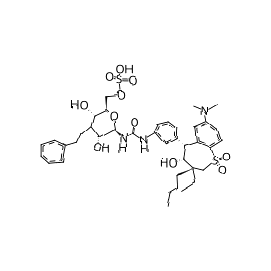 CCCC[C@]1(CC)CS(=O)(=O)c2ccc(N(C)C)cc2[C@@H](c2cccc(NC(=O)N[C@@H]3O[C@H](COS(=O)(=O)O)[C@@H](O)C(CCc4ccccc4)[C@H]3O)c2)[C@H]1O